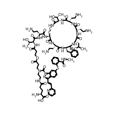 CNC(=O)c1ccccc1Sc1ccc2c(/C=C/c3ccccn3)nn(C(=O)N(CCNC(=O)CC[C@H](N)C(=O)O)CCC(=O)OCCC(=O)N[C@H](C(=O)N[C@@H](CCN)C(=O)N[C@H]3CCNC(=O)[C@H]([C@@H](C)O)NC(=O)[C@H](CCN)NC(=O)[C@H](CCN)NC(=O)[C@H](CC(C)C)NC(=O)[C@@H](Cc4ccccc4)NC(=O)[C@H](CCN)NC3=O)[C@@H](C)O)c2c1